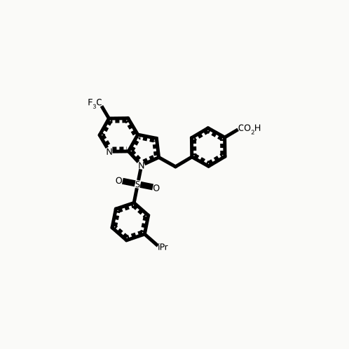 CC(C)c1cccc(S(=O)(=O)n2c(Cc3ccc(C(=O)O)cc3)cc3cc(C(F)(F)F)cnc32)c1